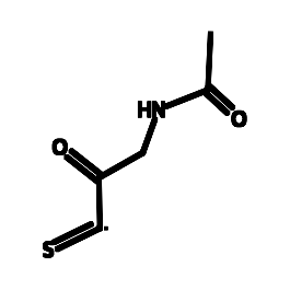 CC(=O)NCC(=O)[C]=S